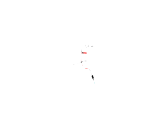 CCCC(C)(OCC#CF)OC(=O)OC